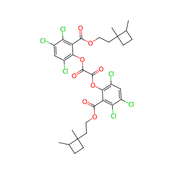 CC1CCC1(C)CCOC(=O)c1c(Cl)c(Cl)cc(Cl)c1OC(=O)C(=O)Oc1c(Cl)cc(Cl)c(Cl)c1C(=O)OCCC1(C)CCC1C